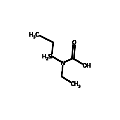 CC[SiH2]N(CC)C(=O)O